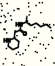 CCCCCC(C)NC(=O)CC1CCCCN1